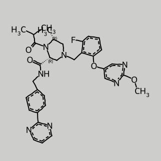 COc1ncc(Oc2cccc(F)c2CN2C[C@@H](C)N(C(=O)C(C)C)[C@@H](C(=O)NCc3ccc(-c4ncccn4)cc3)C2)cn1